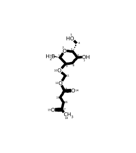 B[C@@H]1O[C@H](CO)C(O)CC1OCOC(=O)CCC(C)=O